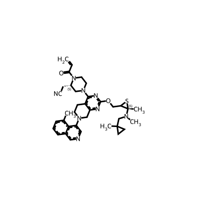 C=CC(=O)N1CCN(c2nc(OCC3S[C@]3(C)N(C)CC3(C)CC3)nc3c2CCN(c2cncc4cccc(C)c24)C3)C[C@@H]1CC#N